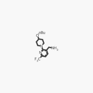 CCCCOC1CCN(c2nc(C(F)(F)F)ccc2CN)CC1